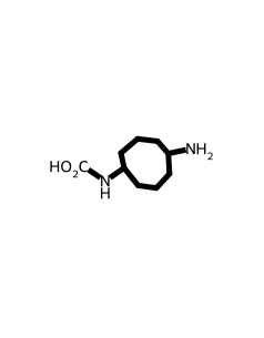 NC1CCCC(NC(=O)O)CCC1